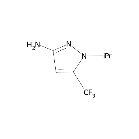 CC(C)n1nc(N)cc1C(F)(F)F